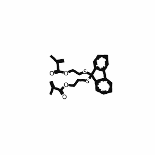 C=C(C)C(=O)OCCSC1(SCCOC(=O)C(=C)C)c2ccccc2-c2ccccc21